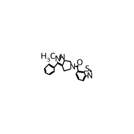 Cn1nc2c(c1-c1ccccc1)CCN(C(=O)c1cccc3ncsc13)C2